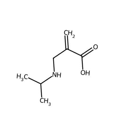 C=C(CNC(C)C)C(=O)O